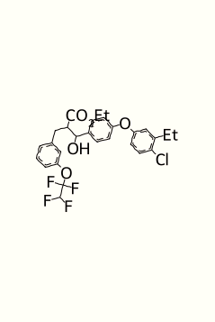 CCOC(=O)C(Cc1cccc(OC(F)(F)C(F)F)c1)C(O)c1ccc(Oc2ccc(Cl)c(CC)c2)cc1